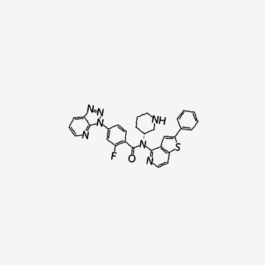 O=C(c1ccc(-n2nnc3cccnc32)cc1F)N(c1nccc2sc(-c3ccccc3)cc12)[C@@H]1CCCNC1